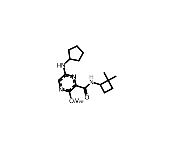 COc1ncc(NC2CCCC2)nc1C(=O)NC1CCC1(C)C